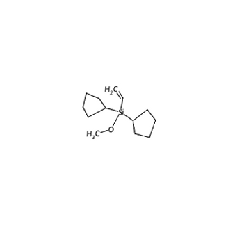 C=C[Si](OC)(C1CCCC1)C1CCCC1